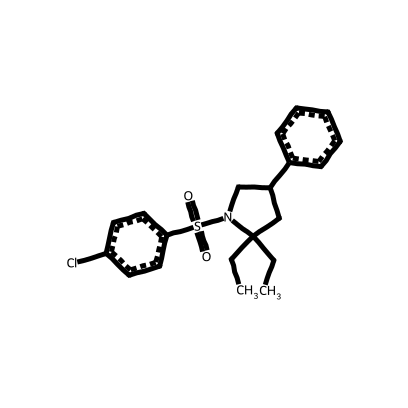 CCC1(CC)CC(c2ccccc2)CN1S(=O)(=O)c1ccc(Cl)cc1